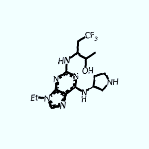 CCn1cnc2c(N[C@H]3CCNC3)nc(NC(CC(F)(F)F)C(C)O)nc21